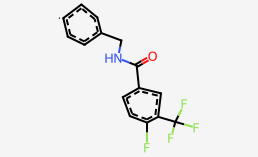 O=C(NCc1cc[c]cc1)c1ccc(F)c(C(F)(F)F)c1